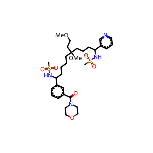 COCCC(CCCCC(NS(C)(=O)=O)c1cccc(C(=O)N2CCOCC2)c1)(CCCC(NS(C)(=O)=O)c1cccnc1)OC